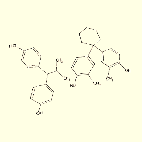 CC(C)C(c1ccc(O)cc1)c1ccc(O)cc1.Cc1cc(C2(c3ccc(O)c(C)c3)CCCCC2)ccc1O